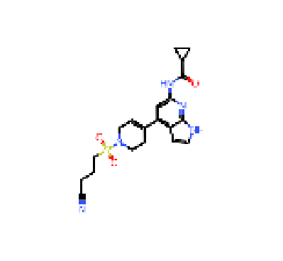 N#CCCCS(=O)(=O)N1CC=C(c2cc(NC(=O)C3CC3)nc3[nH]ccc23)CC1